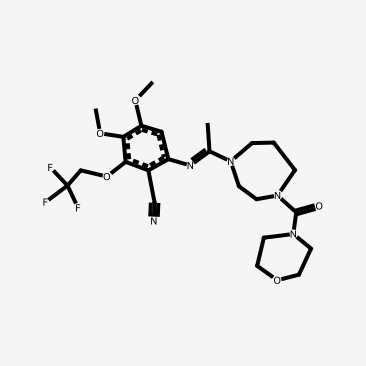 COc1cc(N=C(C)N2CCCN(C(=O)N3CCOCC3)CC2)c(C#N)c(OCC(F)(F)F)c1OC